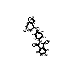 CN1Cc2occc2C(Oc2ccc(N3C(=O)c4ccccc4C3=O)cc2)C1